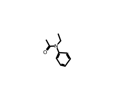 CCN(C(C)=O)c1[c]cccc1